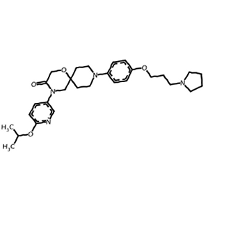 CC(C)Oc1ccc(N2CC3(CCN(c4ccc(OCCCN5CCCC5)cc4)CC3)OCC2=O)cn1